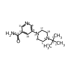 CC(C)(C)N1CCN(c2cncc(C(N)=O)c2)CC1